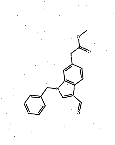 COC(=O)Cc1ccc2c(C=O)cn(Cc3ccccc3)c2c1